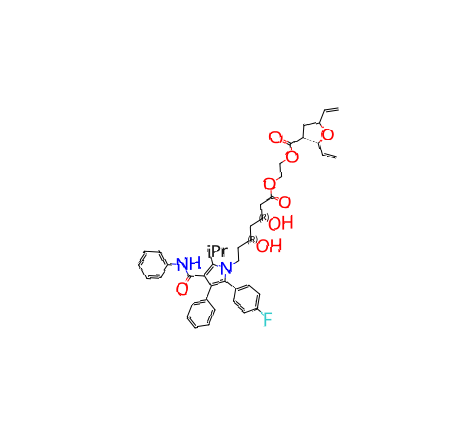 C=CC1CC(C(=O)OCCOC(=O)C[C@H](O)C[C@H](O)CCn2c(-c3ccc(F)cc3)c(-c3ccccc3)c(C(=O)Nc3ccccc3)c2C(C)C)C(C=C)O1